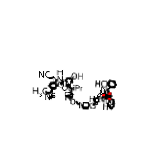 Cc1ncsc1-c1ccc([C@H](CCC#N)NC(=O)[C@@H]2C[C@@H](O)CN2C(=O)[C@H](c2cc(OCCN3CCC(OC4CC(Oc5cc(N6C7CC[C@@H]6CN(c6cc(-c8ccccc8O)nnc6N)C7)ccn5)C4)CC3)no2)C(C)C)cc1